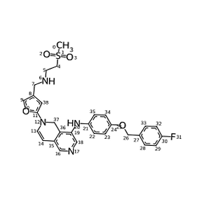 CS(=O)(=O)CCNCc1coc(N2C=Cc3cncc(Nc4ccc(OCc5ccc(F)cc5)cc4)c3C2)c1